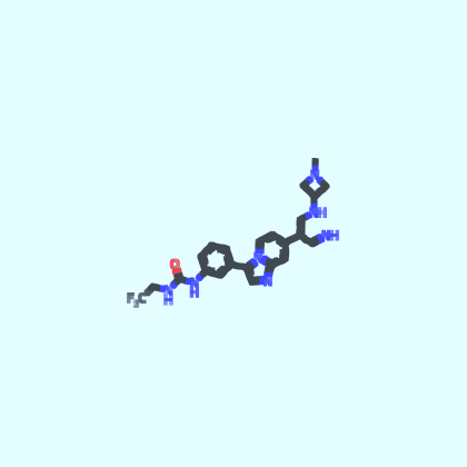 CN1CC(N/C=C(\C=N)c2ccn3c(-c4cccc(NC(=O)NCC(F)(F)F)c4)cnc3c2)C1